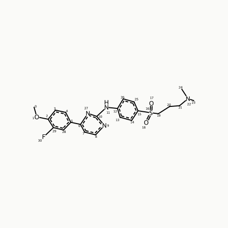 COc1ccc(-c2ccnc(Nc3ccc(S(=O)(=O)CCCN(C)C)cc3)n2)cc1F